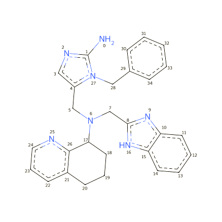 Nc1ncc(CN(Cc2nc3ccccc3[nH]2)C2CCCc3cccnc32)n1Cc1ccccc1